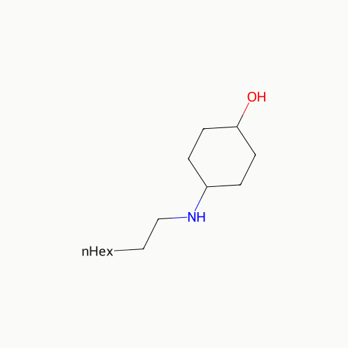 CCCCCCCCNC1CCC(O)CC1